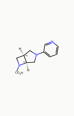 O=C(O)N1C[C@H]2CN(c3cccnc3)C[C@H]21